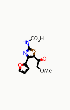 COCC(=O)c1sc(NC(=O)O)nc1-c1ccco1